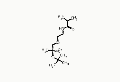 CC(C)C(=O)NCCOCC(C)(C)OC(C)(C)C